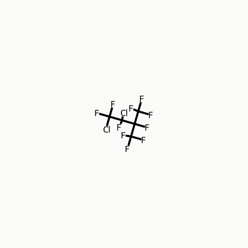 FC(F)(F)C(F)(C(F)(F)F)C(F)(Cl)C(F)(F)Cl